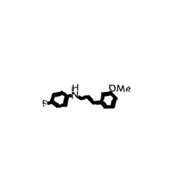 COc1cccc(CCCNc2ccc(F)cc2)c1